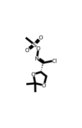 CC1(C)OC[C@@H](/C(Cl)=N/OS(C)(=O)=O)O1